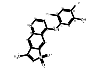 CC1=CS(=O)(=O)c2cc3c(Nc4cc(O)c(F)cc4F)ccnc3cc21